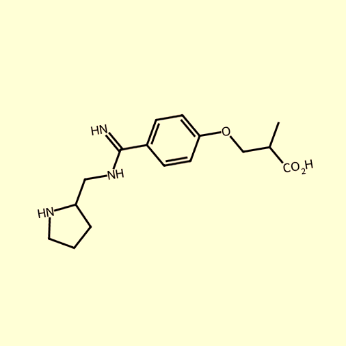 CC(COc1ccc(C(=N)NCC2CCCN2)cc1)C(=O)O